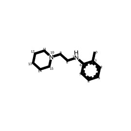 Cc1ccccc1NCCN1CCCCC1